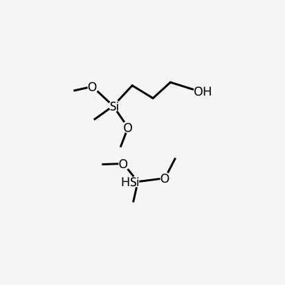 CO[SiH](C)OC.CO[Si](C)(CCCO)OC